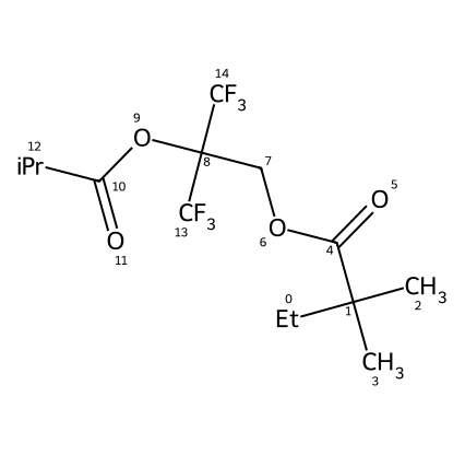 CCC(C)(C)C(=O)OCC(OC(=O)C(C)C)(C(F)(F)F)C(F)(F)F